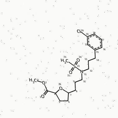 COC(=O)C1CCC(CCCN(CCCc2cccc(Cl)c2)S(C)(=O)=O)O1